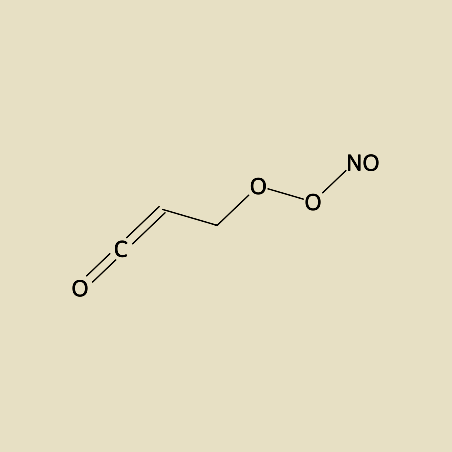 O=C=CCOON=O